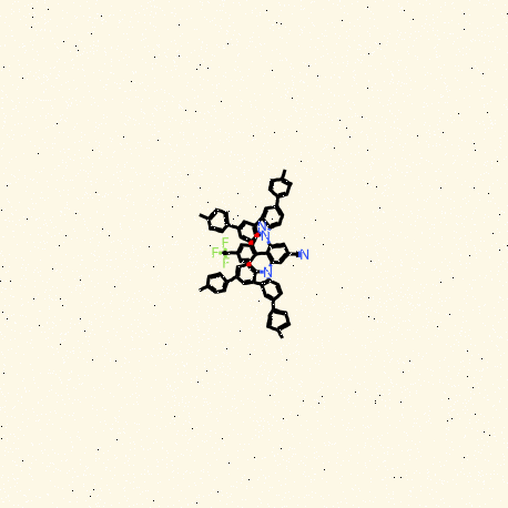 Cc1ccc(-c2ccc3c(c2)c2cc(-c4ccc(C)cc4)ccc2n3-c2cc(C#N)cc(-n3c4ccc(-c5ccc(C)cc5)cc4c4cc(-c5ccc(C)cc5)ccc43)c2-c2ccc(C(F)(F)F)cc2C#N)cc1